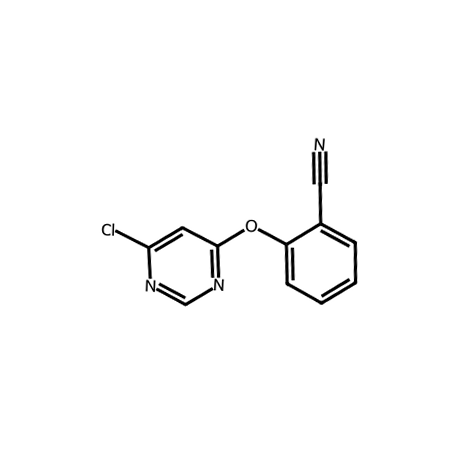 N#Cc1ccccc1Oc1cc(Cl)ncn1